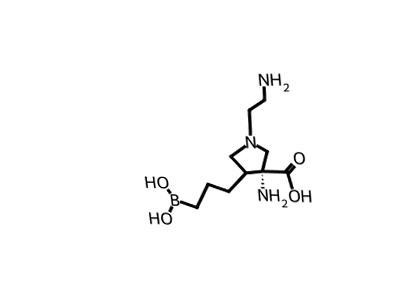 NCCN1CC(CCCB(O)O)[C@](N)(C(=O)O)C1